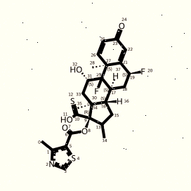 Cc1ncsc1C(=O)O[C@]1(C(O)=S)C(C)C[C@H]2[C@@H]3C[C@H](F)C4=CC(=O)C=C[C@]4(C)C3(F)[C@@H](O)C[C@@]21C